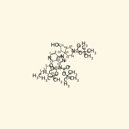 CCCCOc1nccc2c1c(N(C(=O)OC(C)(C)C)C(=O)OC(C)(C)C)nn2C1(CCO)CCN(C(=O)OC(C)(C)C)CC1